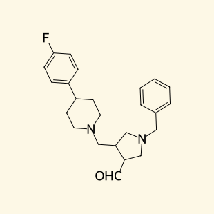 O=CC1CN(Cc2ccccc2)CC1CN1CCC(c2ccc(F)cc2)CC1